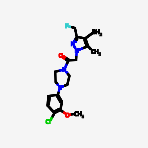 Bc1c(CF)nn(CC(=O)N2CCN(c3ccc(Cl)c(OC)c3)CC2)c1C